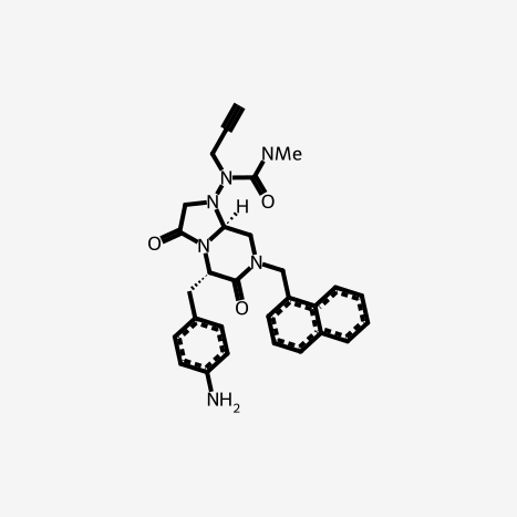 C#CCN(C(=O)NC)N1CC(=O)N2[C@@H](Cc3ccc(N)cc3)C(=O)N(Cc3cccc4ccccc34)C[C@@H]21